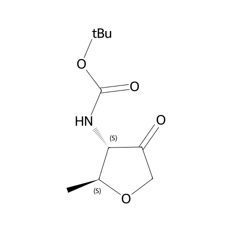 C[C@@H]1OCC(=O)[C@H]1NC(=O)OC(C)(C)C